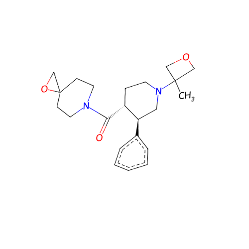 CC1(N2CC[C@@H](C(=O)N3CCC4(CC3)CO4)[C@H](c3ccccc3)C2)COC1